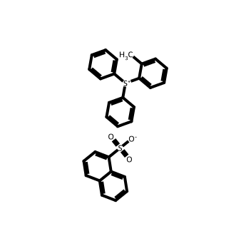 Cc1ccccc1[S+](c1ccccc1)c1ccccc1.O=S(=O)([O-])c1cccc2ccccc12